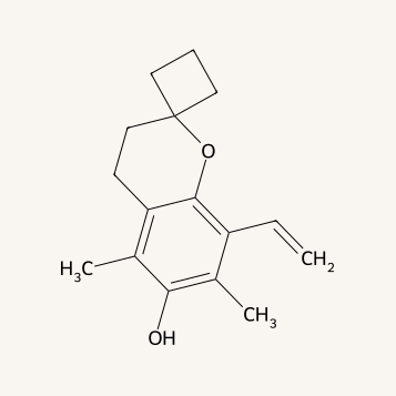 C=Cc1c(C)c(O)c(C)c2c1OC1(CCC1)CC2